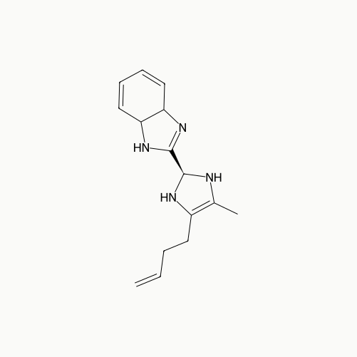 C=CCCC1=C(C)N[C@H](C2=NC3C=CC=CC3N2)N1